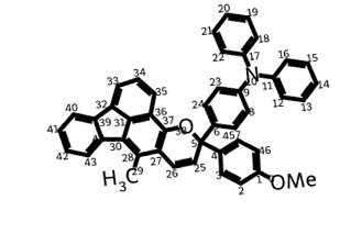 COc1ccc(C2(c3ccc(N(c4ccccc4)c4ccccc4)cc3)C=Cc3c(C)c4c5c(cccc5c3O2)-c2ccccc2-4)cc1